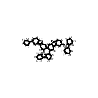 c1ccc(-c2ccc3sc4ccc(-n5c6ccccc6c6cccc(-c7ccc8sc9ccc(-n%10c%11ccccc%11c%11ccccc%11%10)cc9c8c7)c65)cc4c3c2)cc1